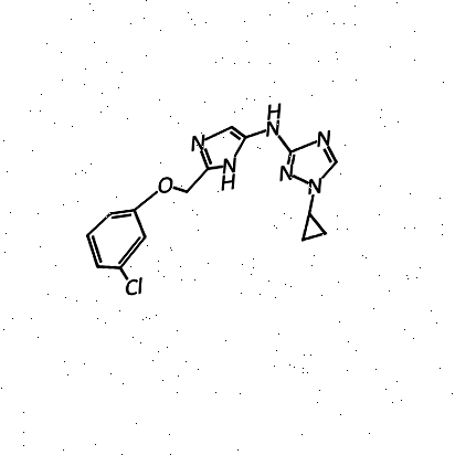 Clc1cccc(OCc2ncc(Nc3ncn(C4CC4)n3)[nH]2)c1